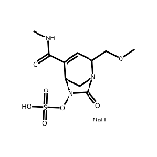 CNC(=O)C1=CC(COC)N2CC1N(OS(=O)(=O)O)C2=O.[NaH]